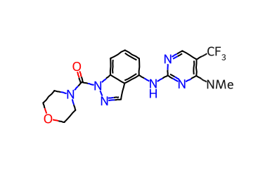 CNc1nc(Nc2cccc3c2cnn3C(=O)N2CCOCC2)ncc1C(F)(F)F